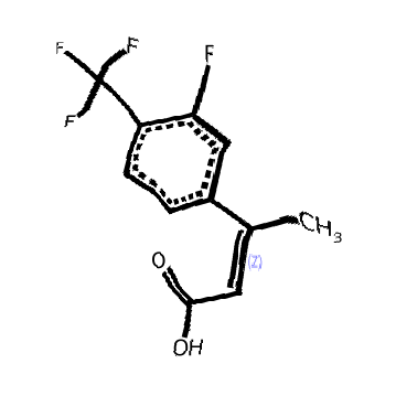 C/C(=C/C(=O)O)c1ccc(C(F)(F)F)c(F)c1